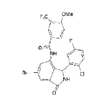 COc1ccc(C(=O)Nc2cc(Br)cc3c2C(c2cc(F)ccc2Cl)NC3=O)cc1C(F)(F)F